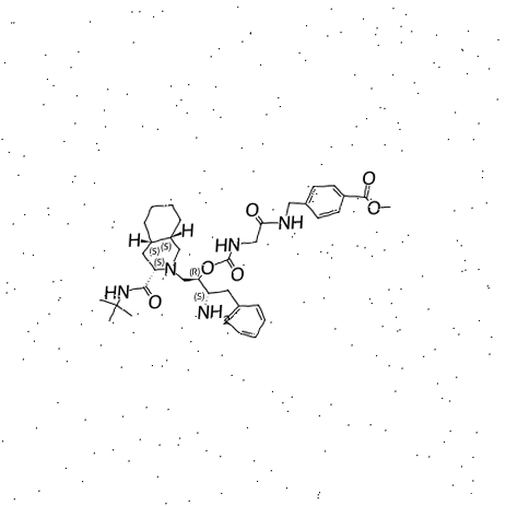 COC(=O)c1ccc(CNC(=O)CNC(=O)O[C@H](CN2C[C@H]3CCCC[C@H]3C[C@H]2C(=O)NC(C)(C)C)[C@@H](N)Cc2ccccc2)cc1